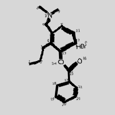 Br.CCCc1c(CN(C)C)cccc1OC(=O)c1ccccc1